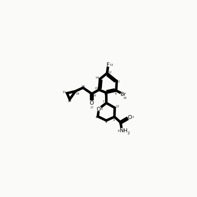 NC(=O)C1CCOC(c2c(Br)cc(F)cc2C(=O)CC2CC2)C1